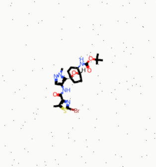 Cc1sc(Br)nc1C(=O)Nc1cnn(C)c1[C@@]12CC[C@@H](NC(=O)OC(C)(C)C)[C@@H](CC1)O2